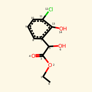 CCOC(=O)C(O)c1cccc(Cl)c1O